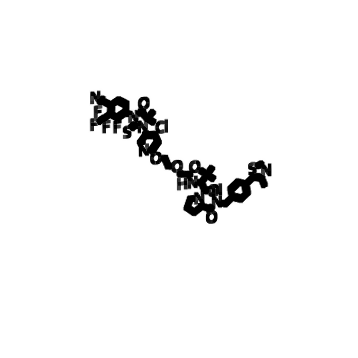 Cc1ncsc1-c1ccc(CNC(=O)C2CCCN2C(=O)C(NC(=O)COCCOc2cc(Cl)c(N3C(=S)N(c4ccc(C#N)c(C(F)(F)F)c4F)C(=O)C3(C)C)cn2)C(C)(C)C)cc1